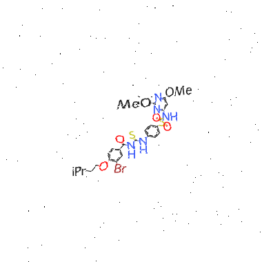 COc1cc(NS(=O)(=O)c2ccc(NC(=S)NC(=O)c3ccc(OCCC(C)C)c(Br)c3)cc2)nc(OC)n1